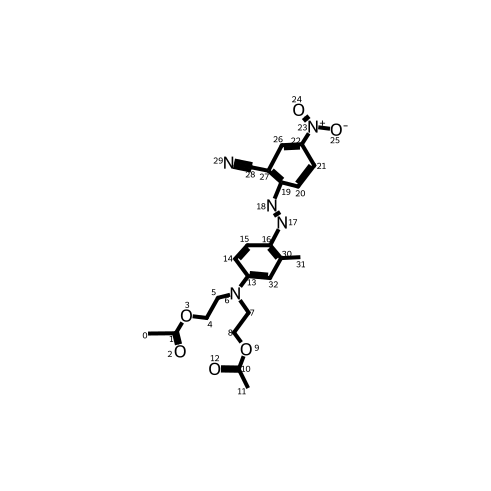 CC(=O)OCCN(CCOC(C)=O)c1ccc(/N=N/c2ccc([N+](=O)[O-])cc2C#N)c(C)c1